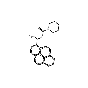 CC(OC(=O)N1CCCCC1)c1ccc2ccc3cccc4ccc1c2c34